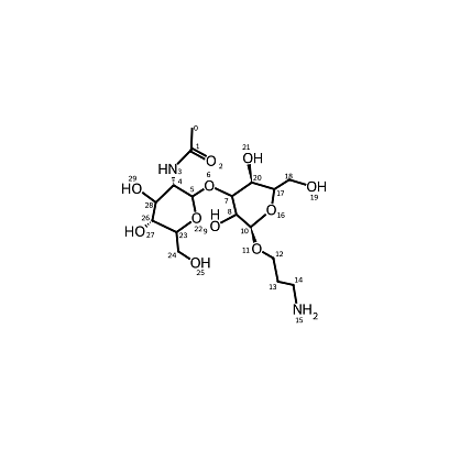 CC(=O)N[C@@H]1C(OC2C(O)[C@H](OCCCN)OC(CO)[C@@H]2O)OC(CO)[C@H](O)C1O